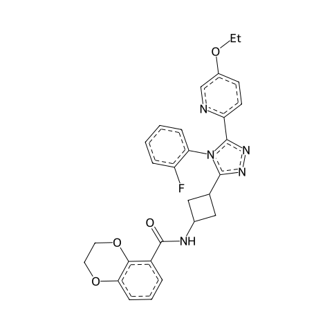 CCOc1ccc(-c2nnc(C3CC(NC(=O)c4cccc5c4OCCO5)C3)n2-c2ccccc2F)nc1